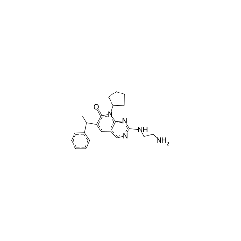 CC(c1ccccc1)c1cc2cnc(NCCN)nc2n(C2CCCC2)c1=O